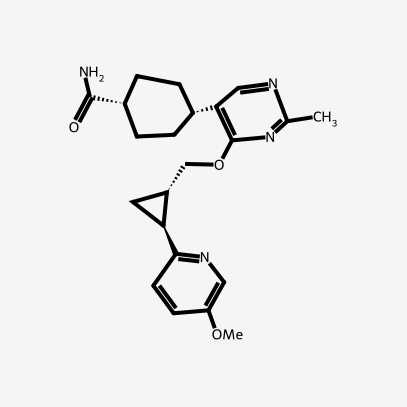 COc1ccc([C@H]2C[C@@H]2COc2nc(C)ncc2[C@H]2CC[C@@H](C(N)=O)CC2)nc1